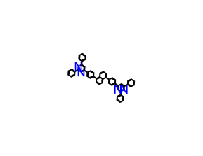 c1ccc(-c2cc(-c3ccc(-c4cccc5c(-c6ccc(-c7cc(-c8ccccc8)nc(-c8ccccc8)n7)cc6)cccc45)cc3)nc(-c3ccccc3)n2)cc1